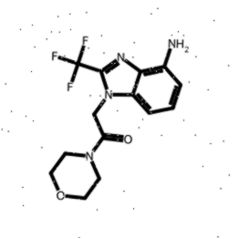 Nc1cccc2c1nc(C(F)(F)F)n2CC(=O)N1CCOCC1